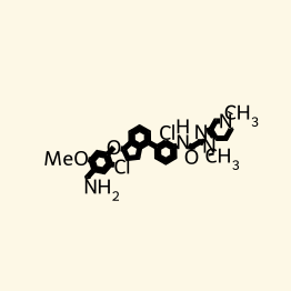 COc1cc(OC2CCc3c(-c4cccc(NC(=O)c5nc6c(n5C)CCN(C)C6)c4Cl)cccc32)c(Cl)cc1CN